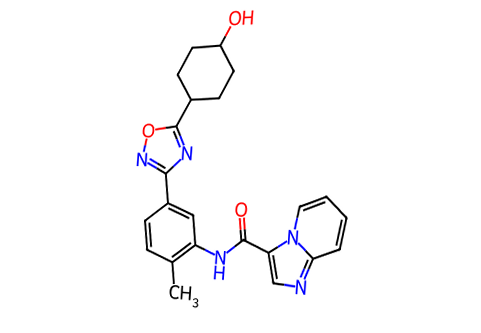 Cc1ccc(-c2noc(C3CCC(O)CC3)n2)cc1NC(=O)c1cnc2ccccn12